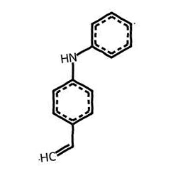 [CH]=Cc1ccc(Nc2cc[c]cc2)cc1